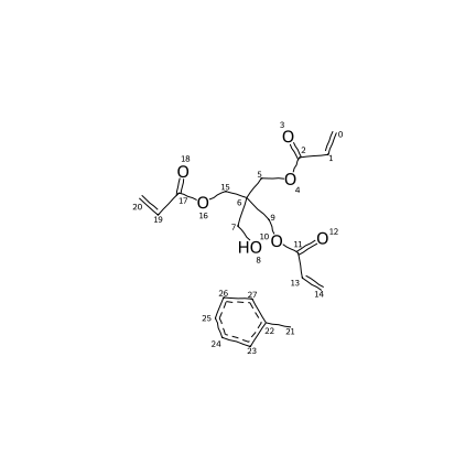 C=CC(=O)OCC(CO)(COC(=O)C=C)COC(=O)C=C.Cc1ccccc1